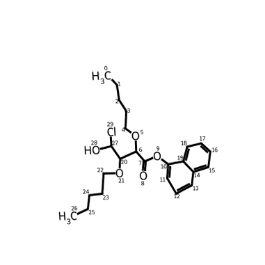 CCCCCOC(C(=O)Oc1cccc2ccccc12)C(OCCCCC)C(O)Cl